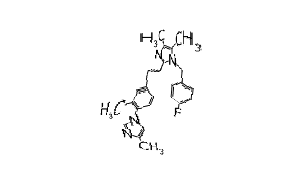 Cc1cn(-c2ccc(/C=C/c3nc(C)c(C)n3Cc3ccc(F)cc3)cc2C)cn1